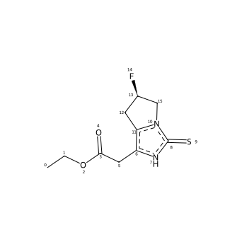 CCOC(=O)Cc1[nH]c(=S)n2c1C[C@@H](F)C2